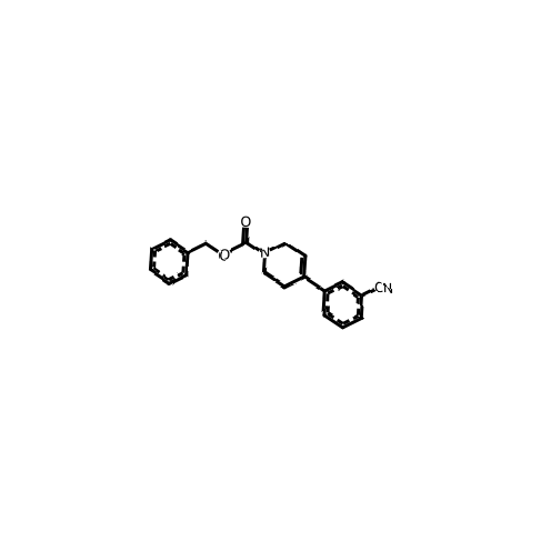 N#Cc1cccc(C2=CCN(C(=O)OCc3ccccc3)CC2)c1